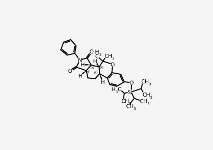 CC(C)[Si](Oc1ccc2c(c1)OC(C)(C)[C@H]1[C@H]3C(=O)N(c4ccccc4)C(=O)[C@H]3CC[C@@H]21)(C(C)C)C(C)C